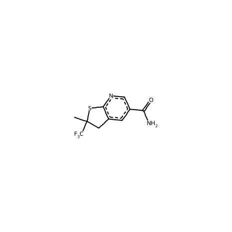 CC1(C(F)(F)F)Cc2cc(C(N)=O)cnc2S1